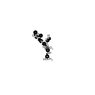 CC(C)c1ccccc1C1CN(C(=O)c2ccccc2)CCN1C1CC2(CCN(c3ccc(C(=O)NS(=O)(=O)C4([N+](=O)[O-])C=CC(NCC5CCC(C)(O)CC5)=CC4)c(Oc4cnc5[nH]ccc5c4)c3)CC2)C1